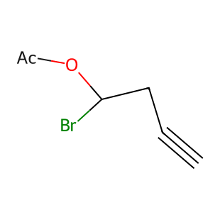 C#CCC(Br)OC(C)=O